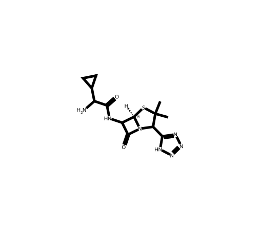 CC1(C)S[C@@H]2C(NC(=O)C(N)C3CC3)C(=O)N2C1c1nnn[nH]1